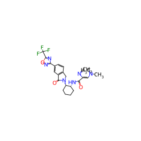 C=N/C(=C\N(C)C)C(=O)N[C@@H]1CCCC[C@H]1N1Cc2ccc(-c3noc(C(F)(F)F)n3)cc2C1=O